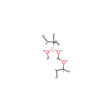 CCC(C)OCOB(OC)C(C)(C)CC